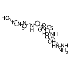 N=C(N)NCCC[C@H](NC(=O)c1sccc1NS(=O)(=O)c1cccc(NCc2csc(N3CCN(CCO)CC3)n2)c1)C(=O)O